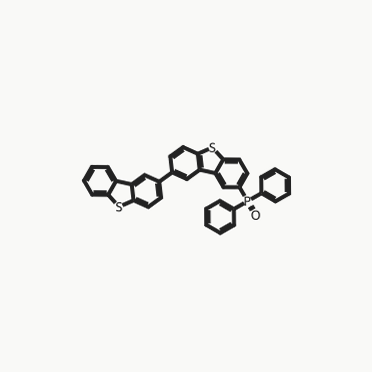 O=P(c1ccccc1)(c1ccccc1)c1ccc2sc3ccc(-c4ccc5sc6ccccc6c5c4)cc3c2c1